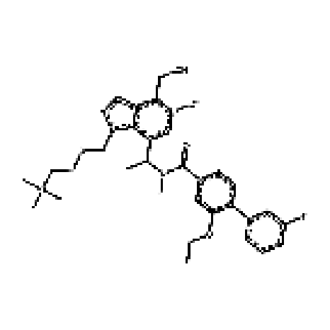 CCOc1cc(C(=O)N(C)C(C)c2c[n+]([O-])c(CO)c3cnn(COCC[Si](C)(C)C)c23)ccc1-c1cccc(F)c1